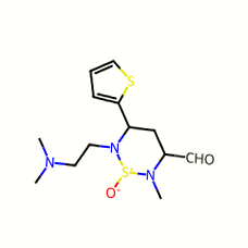 CN(C)CCN1C(c2cccs2)CC(C=O)N(C)[S+]1[O-]